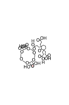 O=C(O)C1OCCOCCOC(C(=O)O)C(C(=O)O)OCCOCCOC1C(=O)O.O=C(O)CCC1(CCC(=O)O)CCCC(CCC(=O)O)(CCC(=O)O)C1=O